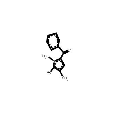 CC(=O)c1c(C)cc(C(=O)c2ccccc2)n1C